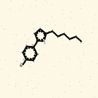 CCCCCCc1ccc(-c2ccc(Br)cc2)s1